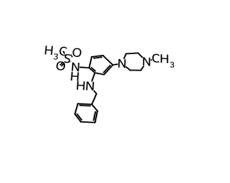 CN1CCN(c2ccc(NS(C)(=O)=O)c(NCc3ccccc3)c2)CC1